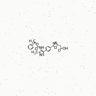 Cc1nsc(-c2ccc(-c3nnc(CC(=O)O)o3)cc2)c1NC(=O)O[C@H](C)c1ccccc1